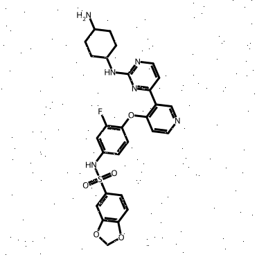 NC1CCC(Nc2nccc(-c3cnccc3Oc3ccc(NS(=O)(=O)c4ccc5c(c4)OCO5)cc3F)n2)CC1